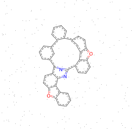 c1cc2cc(c1)c1nc(nc3c1ccc1oc4ccccc4c13)c1cccc3oc4ccc(cc4c31)c1ccccc21